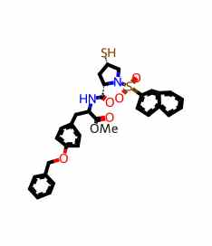 COC(=O)C(Cc1ccc(OCc2ccccc2)cc1)NC(=O)[C@@H]1C[C@H](S)CN1S(=O)(=O)c1ccc2ccccc2c1